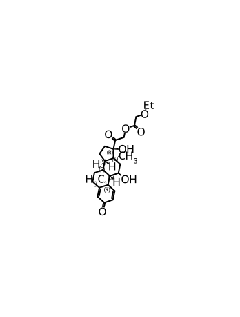 CCOCC(=O)OCC(=O)[C@@]1(O)CC[C@H]2[C@@H]3CCC4=CC(=O)C=C[C@]4(C)[C@H]3C(O)C[C@@]21C